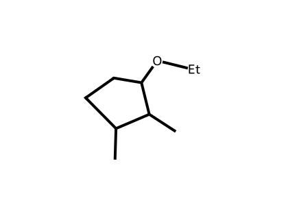 CCOC1CCC(C)C1C